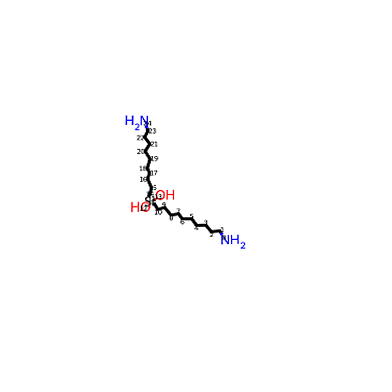 NCCCCCCCCCC[Si](O)(O)CCCCCCCCCCN